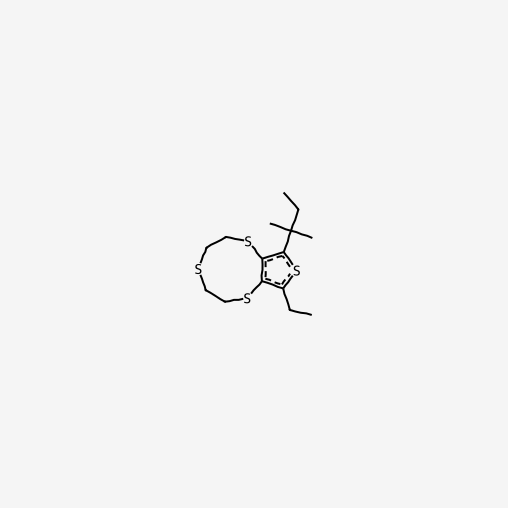 CCc1sc(C(C)(C)CC)c2c1SCCSCCS2